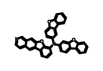 c1ccc2c(c1)oc1cc(N(c3ccc4oc5ccccc5c4c3)c3cccc4c3oc3cc5cnccc5cc34)ccc12